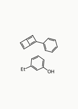 CCc1cccc(O)c1.c1ccc(-c2cc3ccc2-3)cc1